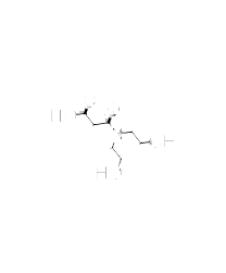 O=C(O)CC(=O)N(CCO)CCO